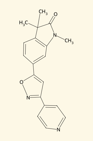 CN1C(=O)C(C)(C)c2ccc(-c3cc(-c4ccncc4)no3)cc21